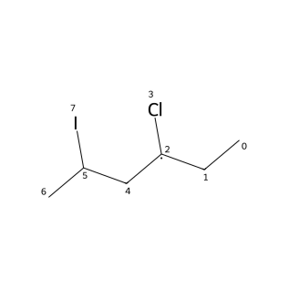 CC[C](Cl)CC(C)I